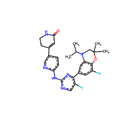 CC(C)N1CC(C)(C)Oc2c(F)cc(-c3nc(Nc4ccc(C5=CC(=O)NCC5)cn4)ncc3F)cc21